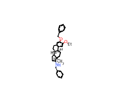 CCOc1cc2c(cc1OCc1ccccc1)CC[C@@H]1[C@@H]2CC[C@]2(C)[C@@H](NCc3ccccc3)CC[C@@H]12